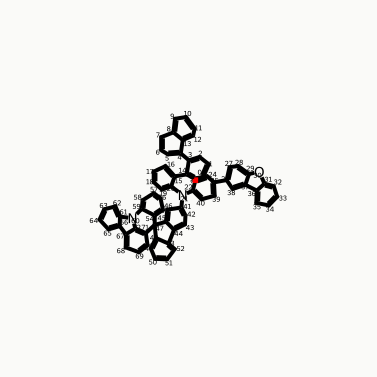 c1ccc(-c2cccc3ccccc23)c(-c2ccccc2N(c2ccc(-c3ccc4oc5ccccc5c4c3)cc2)c2ccc3c(c2)C2(c4ccccc4-3)c3ccccc3-n3c4ccccc4c4cccc2c43)c1